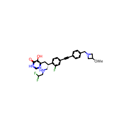 COC1CN(Cc2ccc(C#Cc3ccc([C@H](CNCC(F)F)Cc4nc[nH]c(=O)c4O)c(F)c3)cc2)C1